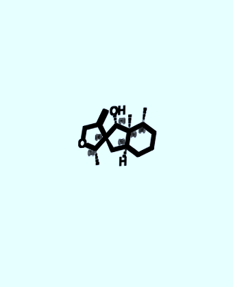 C=C1CO[C@@H](C)[C@]12C[C@@H]1CCC[C@@H](C)[C@]1(C)[C@H]2O